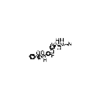 CN(C)CCCNC(=O)Nc1cc(Oc2ccc(NC(=O)N3CCN(c4ccccc4)C3=O)cc2F)ccn1